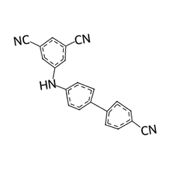 N#Cc1ccc(-c2ccc(Nc3cc(C#N)cc(C#N)c3)cc2)cc1